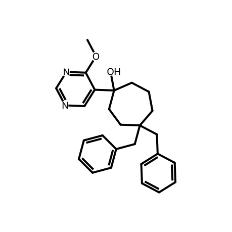 COc1ncncc1C1(O)CCCC(Cc2ccccc2)(Cc2ccccc2)CC1